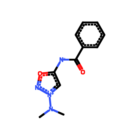 CN(C)[n+]1cc([N-]C(=O)c2ccccc2)on1